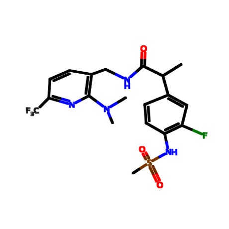 CC(C(=O)NCc1ccc(C(F)(F)F)nc1N(C)C)c1ccc(NS(C)(=O)=O)c(F)c1